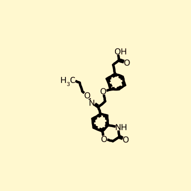 CCCON=C(COc1cccc(CC(=O)O)c1)c1ccc2c(c1)NC(=O)CO2